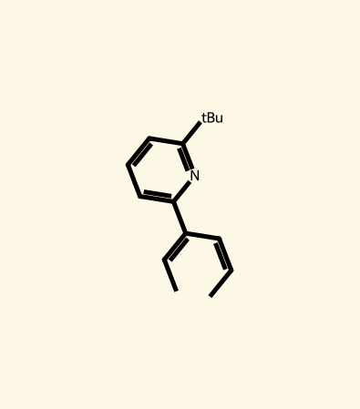 C/C=C\C(=C/C)c1cccc(C(C)(C)C)n1